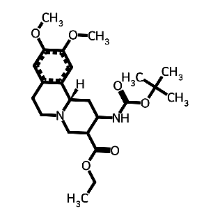 CCOC(=O)C1CN2CCc3cc(OC)c(OC)cc3[C@@H]2CC1NC(=O)OC(C)(C)C